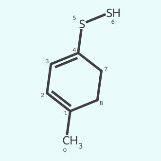 CC1=CC=C(SS)CC1